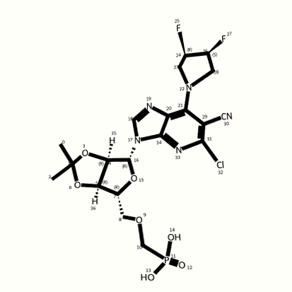 CC1(C)O[C@@H]2[C@H](O1)[C@@H](COCP(=O)(O)O)O[C@H]2n1cnc2c(N3C[C@@H](F)[C@@H](F)C3)c(C#N)c(Cl)nc21